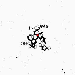 COC[C@@]1(C)C[C@H](N2CCCc3cc(Cl)cc(-c4ccnc5cc(CN6C(=O)CCC6=O)sc45)c32)CN1.O=CO